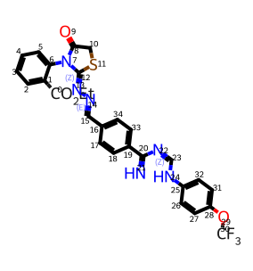 CCOC(=O)c1ccccc1N1C(=O)CS/C1=N\N=C\c1ccc(C(=N)/N=C\Nc2ccc(OC(F)(F)F)cc2)cc1